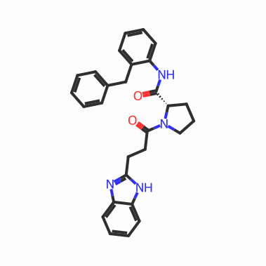 O=C(Nc1ccccc1Cc1ccccc1)[C@@H]1CCCN1C(=O)CCc1nc2ccccc2[nH]1